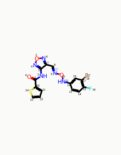 O=C(Nc1nonc1/C=N/ONc1ccc(F)c(Br)c1)c1cccs1